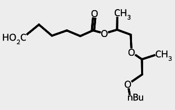 CCCCOCC(C)OCC(C)OC(=O)CCCCC(=O)O